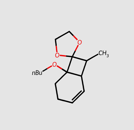 CCCCOC12CCC=CC1C(C)C21OCCO1